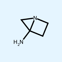 NC12CCN1C2